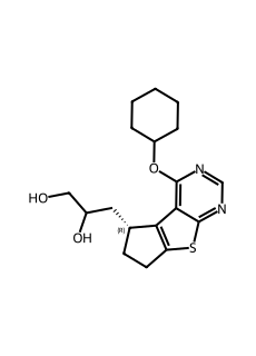 OCC(O)C[C@H]1CCc2sc3ncnc(OC4CCCCC4)c3c21